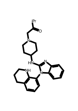 CC(C)C(=O)CN1CCC(Nc2nc3ccccc3n2-c2cccc3c2NCCC3)CC1